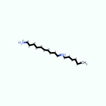 CCCCCCNCCCCCCCCCCN